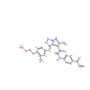 COC(=O)c1ccc(C(C)NC(=O)c2c(C(F)(F)F)nn3c2N(Cc2ccc(CCCO)c(C(F)(F)F)c2)CC3)cc1